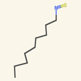 CCCCCCCCCN=S